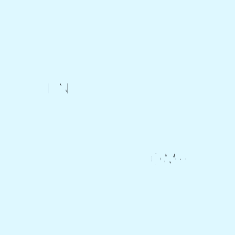 COC=C1CCNCC1